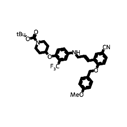 COc1ccc(COc2ccc(C#N)cc2C=CCNc2ccc(OC3CCN(C(=O)OC(C)(C)C)CC3)c(C(F)(F)F)c2)cc1